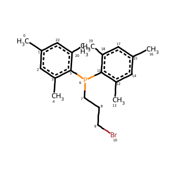 Cc1cc(C)c(P(CCCBr)c2c(C)cc(C)cc2C)c(C)c1